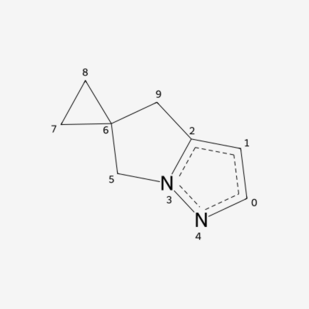 c1cc2n(n1)CC1(CC1)C2